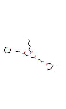 CC(=O)CCCCC(=O)N(CC(=O)NCCO[C@@H]1O[C@@H](C)[C@@H](O)[C@@H](O)[C@@H]1O)CC(=O)NCCO[C@@H]1O[C@@H](C)[C@@H](O)[C@@H](O)[C@@H]1O